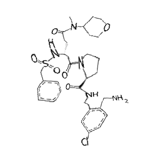 CN(C(=O)C[C@@H](NS(=O)(=O)Cc1ccccc1)C(=O)N1CCC[C@H]1C(=O)NCc1cc(Cl)ccc1CN)C1CCOCC1